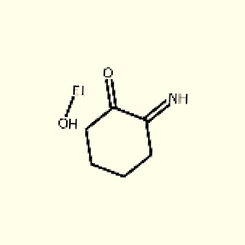 CCO.N=C1CCCCC1=O